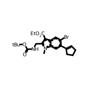 CCOC(=O)c1c(CNC(=O)OC(C)(C)C)n(C)c2cc(C3=CCCC3)c(Br)cc12